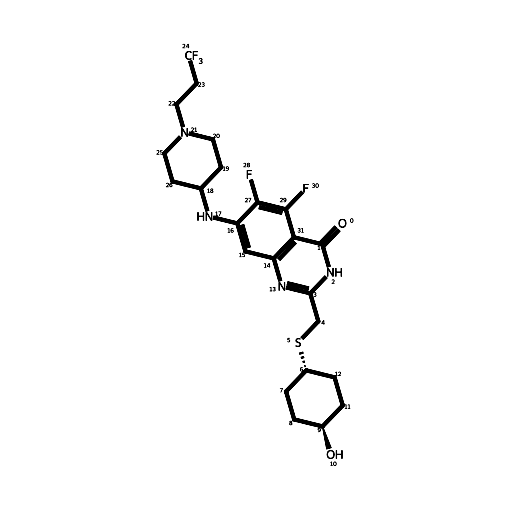 O=c1[nH]c(CS[C@H]2CC[C@H](O)CC2)nc2cc(NC3CCN(CCC(F)(F)F)CC3)c(F)c(F)c12